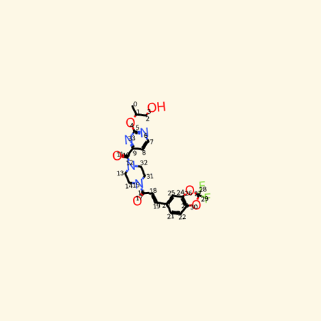 CC(CO)Oc1nccc(C(=O)N2CCN(C(=O)C=Cc3ccc4c(c3)OC(F)(F)O4)CC2)n1